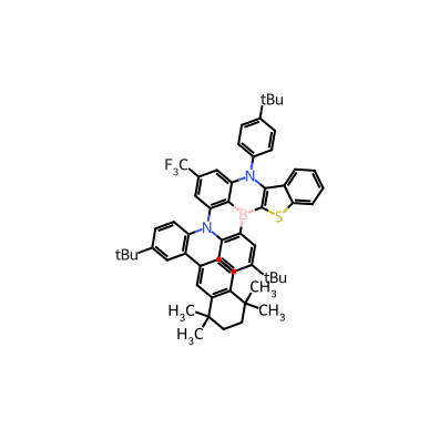 CC(C)(C)c1ccc(N2c3cc(C(F)(F)F)cc4c3B(c3cc(C(C)(C)C)ccc3N4c3ccc(C(C)(C)C)cc3-c3ccc4c(c3)C(C)(C)CCC4(C)C)c3sc4ccccc4c32)cc1